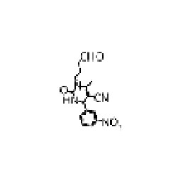 CC1=C(C#N)C(c2cccc([N+](=O)[O-])c2)NC(=O)N1CCCC=O